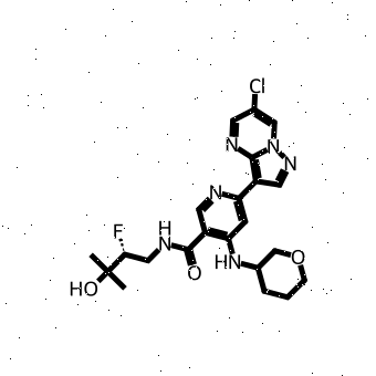 CC(C)(O)[C@H](F)CNC(=O)c1cnc(-c2cnn3cc(Cl)cnc23)cc1NC1CCCOC1